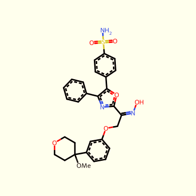 COC1(c2cccc(OC/C(=N/O)c3nc(-c4ccccc4)c(-c4ccc(S(N)(=O)=O)cc4)o3)c2)CCOCC1